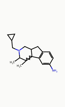 CC1N(CC2CC2)CC2Cc3ccc(N)cc3C23CCCC13C